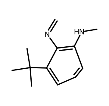 C=Nc1c(NC)cccc1C(C)(C)C